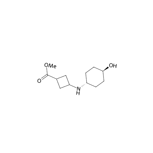 COC(=O)C1CC(N[C@H]2CC[C@H](O)CC2)C1